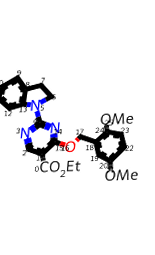 CCOC(=O)c1cnc(N2CCc3ccccc32)nc1OCc1cc(OC)ccc1OC